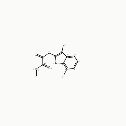 C=C(Cc1oc2c(F)cccc2c1C)C(=O)NC